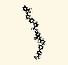 CNC(=O)c1ccc(N2CCC(N3CCCC(c4nc5cnc(CNC(=O)c6ccc(F)c(N7CCC(N8CCC(c9nc%10ccccc%10c(=O)[nH]9)C8)CC7)n6)cc5c(=O)[nH]4)C3)CC2)cn1